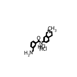 CN1CCc2ccc(NC(=O)c3cccc(CN)c3)cc2C1.Cl.Cl